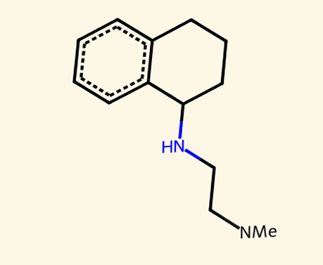 CNCCNC1CCCc2ccccc21